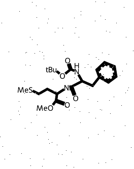 COC(=O)C(CCSC)NC(=O)C(Cc1ccccc1)NC(=O)OC(C)(C)C